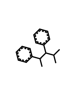 C[C](c1ccccc1)C(c1ccccc1)C(C)C